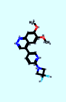 COc1cc2nncc(-c3ccc(N4CC(F)(F)C4)nc3)c2cc1OC